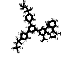 CC(C)c1cc(-c2cc(-c3ccc(C(C)(C)CC(C)(C)C)cc3)cc(-c3ccc(C(C)(C)CC(C)(C)C)cc3)c2)cc(C(C)C)c1N1C=CNC1c1ccccc1